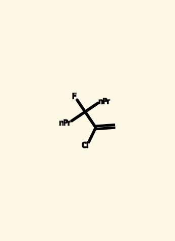 C=C(Cl)C(F)(CCC)CCC